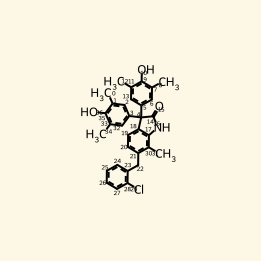 Cc1cc(C2(c3cc(C)c(O)c(C)c3)C(=O)Nc3c2ccc(Cc2ccccc2Cl)c3C)cc(C)c1O